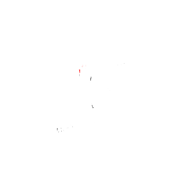 COC(=O)C1=CO[C@@H](O)[C@@H]2C(COC(C)=O)=CC[C@H]12